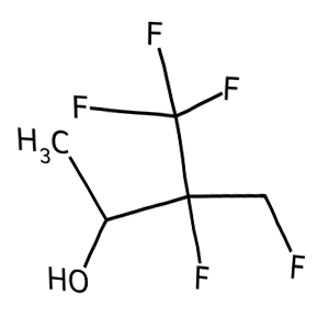 CC(O)C(F)(CF)C(F)(F)F